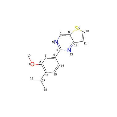 COc1cc(-c2ncc3sccc3n2)ccc1C(C)C